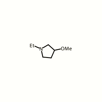 [CH2]CN1CCC(OC)C1